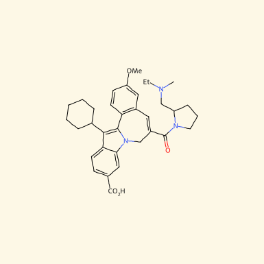 CCN(C)CC1CCCN1C(=O)C1=Cc2cc(OC)ccc2-c2c(C3CCCCC3)c3ccc(C(=O)O)cc3n2C1